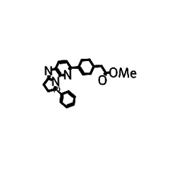 COC(=O)CC1CC=C(c2ccc3nc4n(c3n2)[C@@H](c2ccccc2)CC4)CC1